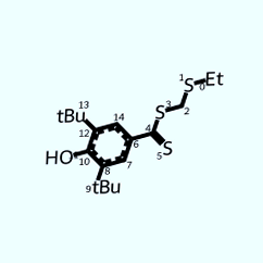 CCSCSC(=S)c1cc(C(C)(C)C)c(O)c(C(C)(C)C)c1